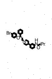 CC(C)C(=O)Nc1cccc(C2CCN(CC[C@H](Oc3ccc(Br)cc3)c3ccccc3)CC2)c1